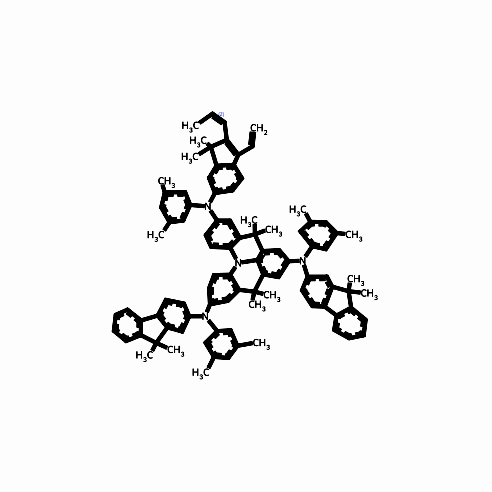 C=CC1=C(/C=C\C)C(C)(C)c2cc(N(c3cc(C)cc(C)c3)c3ccc4c(c3)C(C)(C)c3cc(N(c5cc(C)cc(C)c5)c5ccc6c(c5)C(C)(C)c5ccccc5-6)cc5c3N4c3ccc(N(c4cc(C)cc(C)c4)c4ccc6c(c4)C(C)(C)c4ccccc4-6)cc3C5(C)C)ccc21